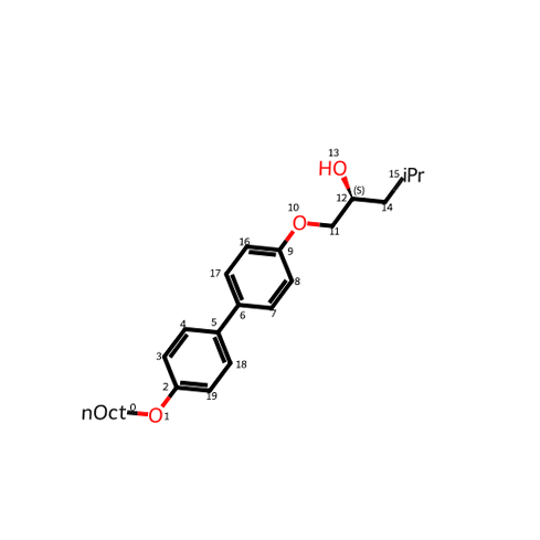 CCCCCCCCOc1ccc(-c2ccc(OC[C@@H](O)CC(C)C)cc2)cc1